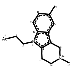 CC(=O)CCn1c2c(c3cc(C)ccc31)CN(C)CC2